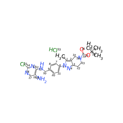 Cc1c2c(nn1-c1ccc(CNc3nc(Cl)ncc3N)cc1)CCN(C(=O)OC(C)(C)C)C2.Cl